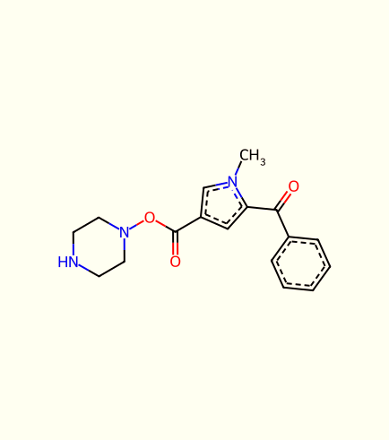 Cn1cc(C(=O)ON2CCNCC2)cc1C(=O)c1ccccc1